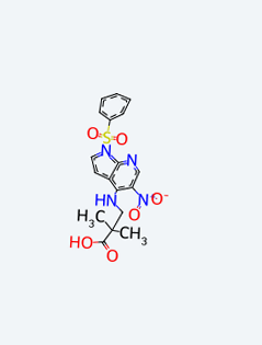 CC(C)(CNc1c([N+](=O)[O-])cnc2c1ccn2S(=O)(=O)c1ccccc1)C(=O)O